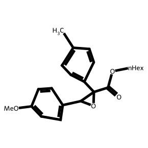 CCCCCCOC(=O)C1(c2ccc(C)cc2)OC1c1ccc(OC)cc1